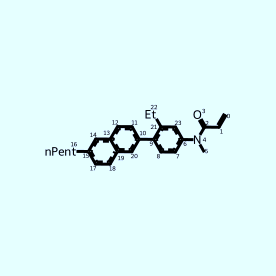 C=CC(=O)N(C)c1ccc(-c2ccc3cc(CCCCC)ccc3c2)c(CC)c1